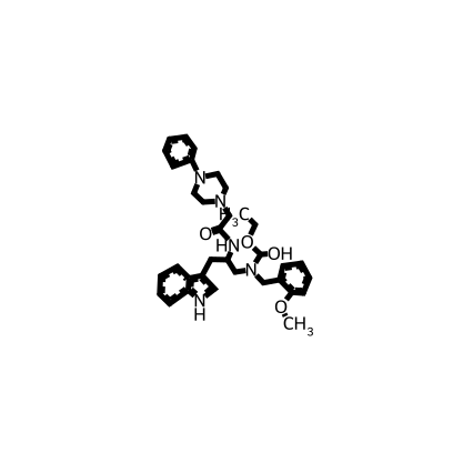 CCOC(O)N(Cc1ccccc1OC)CC(Cc1c[nH]c2ccccc12)NC(=O)CN1CCN(c2ccccc2)CC1